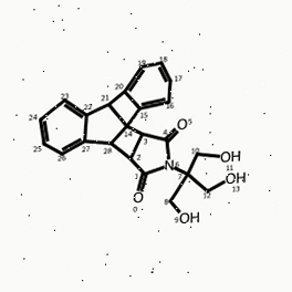 O=C1C2C(C(=O)N1C(CO)(CO)CO)C13c4ccccc4C1c1ccccc1C23